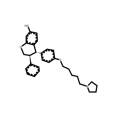 Oc1ccc2c(c1)OC[C@H](c1ccccc1)[C@H]2c1ccc(OCCCCCN2CCCC2)cc1